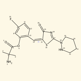 CC(C)(N)C(=O)Oc1cc(F)ccc1/C=C1/SC(N2CCCCN2)=NC1=O